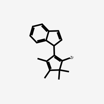 CC1=C(C)C(C)(C)[C]([Zr])=C1C1C=Cc2ccccc21